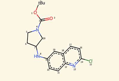 CC(C)(C)OC(=O)N1CCC(Nc2ccc3nc(Cl)ccc3c2)C1